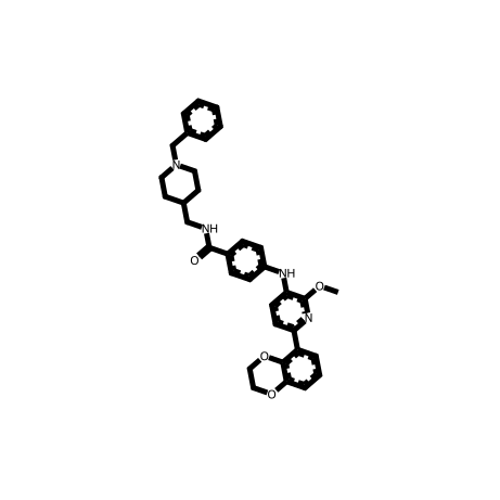 COc1nc(-c2cccc3c2OCCO3)ccc1Nc1ccc(C(=O)NCC2CCN(Cc3ccccc3)CC2)cc1